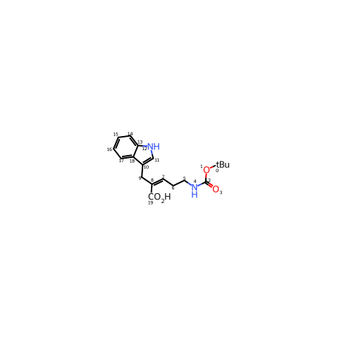 CC(C)(C)OC(=O)NCCC=C(Cc1c[nH]c2ccccc12)C(=O)O